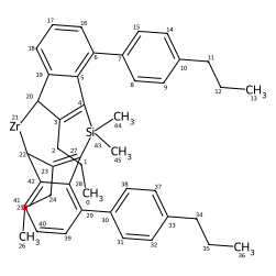 CCCC1=C2c3c(-c4ccc(CCC)cc4)cccc3[CH]1[Zr][CH]1C(CCC)=C(c3c(-c4ccc(CCC)cc4)cccc31)[Si]2(C)C